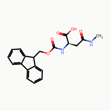 CNC(=O)C[C@@H](NC(=O)OCC1c2ccccc2-c2ccccc21)C(=O)O